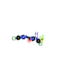 O=C(CCCN1CCN(c2ccc(Cl)cc2)CC1)N1CCC(Nc2ccc(Cl)c(SC(F)(F)F)c2)CC1